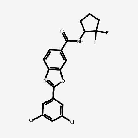 O=C(NC1CCCC1(F)F)c1ccc2nc(-c3cc(Cl)cc(Cl)c3)oc2c1